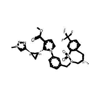 COC(=O)c1ccn(-c2cccc(CN3C[C@@H](C)Cc4ccc(C(F)(F)F)cc4S3(=O)=O)c2)c1[C@@H]1C[C@H]1c1cn(C)nn1